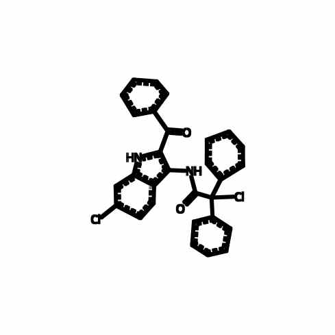 O=C(c1ccccc1)c1[nH]c2cc(Cl)ccc2c1NC(=O)C(Cl)(c1ccccc1)c1ccccc1